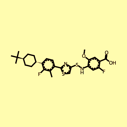 COc1cc(C(=O)O)c(F)cc1NSc1csc(-c2ccc([C@H]3CC[C@H](C(C)(C)C)CC3)c(F)c2C)n1